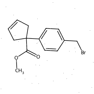 COC(=O)C1(c2ccc(CBr)cc2)CC=CC1